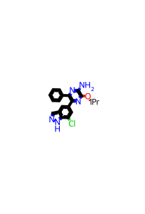 CC(C)Oc1nc(-c2cc(Cl)c3[nH]ncc3c2)c(-c2ccccc2)nc1N